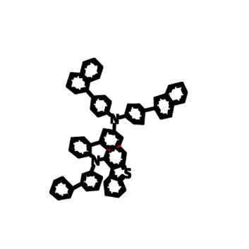 c1ccc(-c2cccc(N(c3ccccc3-c3cccc(N(c4ccc(-c5ccc6ccccc6c5)cc4)c4ccc(-c5cccc6ccccc56)cc4)c3)c3cccc4sc5ccccc5c34)c2)cc1